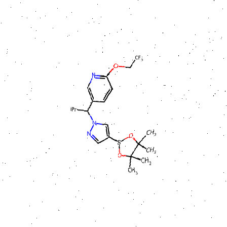 CC(C)C(c1ccc(OCC(F)(F)F)nc1)n1cc(B2OC(C)(C)C(C)(C)O2)cn1